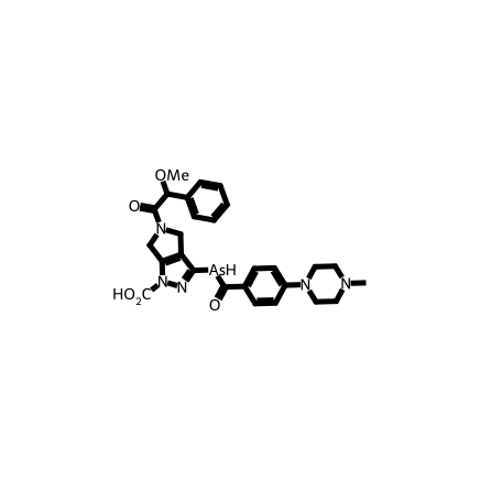 COC(C(=O)N1Cc2c([AsH]C(=O)c3ccc(N4CCN(C)CC4)cc3)nn(C(=O)O)c2C1)c1ccccc1